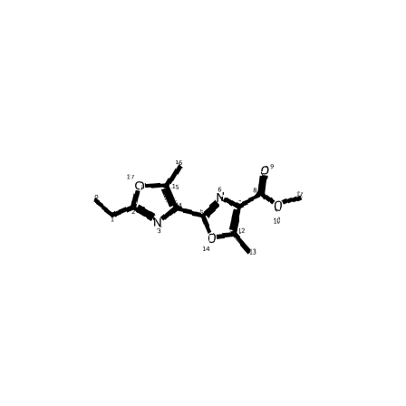 CCc1nc(-c2nc(C(=O)OC)c(C)o2)c(C)o1